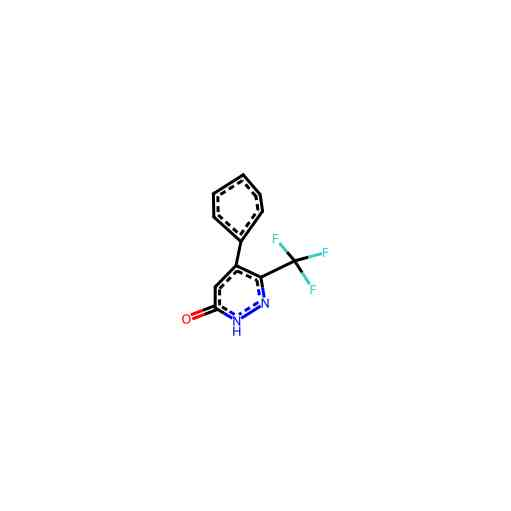 O=c1cc(-c2ccccc2)c(C(F)(F)F)n[nH]1